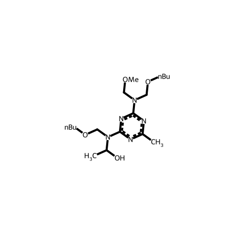 CCCCOCN(COC)c1nc(C)nc(N(COCCCC)C(C)O)n1